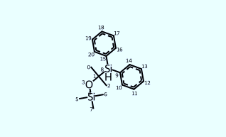 CC(C)(O[Si](C)(C)C)[SiH](c1ccccc1)c1ccccc1